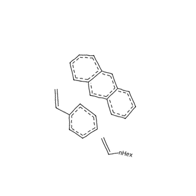 C=CCCCCCC.C=Cc1ccccc1.c1ccc2cc3ccccc3cc2c1